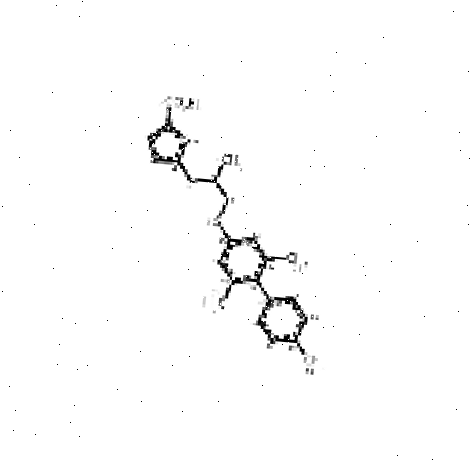 CCOC(=O)c1ccc(CC(C)CSc2cc(C)c(-c3ccc(C(F)(F)F)cc3)c(C)c2)s1